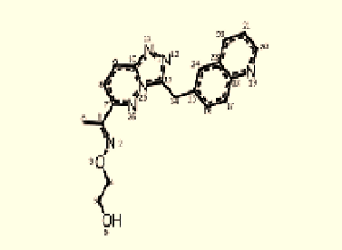 CC(=NOCCO)c1ccc2nnc(Cc3ccc4ncccc4c3)n2n1